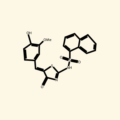 COc1cc(C=C2SC(NS(=O)(=O)c3cccc4ccccc34)=NC2=O)ccc1O